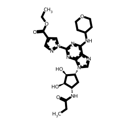 CCOC(=O)c1cnn(-c2nc(NC3CCOCC3)c3ncn([C@@H]4C[C@H](NC(=O)CC)[C@@H](O)[C@H]4O)c3n2)c1